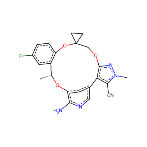 C[C@H]1Oc2cc(cnc2N)-c2c(nn(C)c2C#N)OCC2(CC2)Oc2ccc(F)cc21